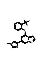 Cn1cnc(-c2cc(Oc3cc[c]cc3C(F)(F)F)c3ccnn3c2)c1